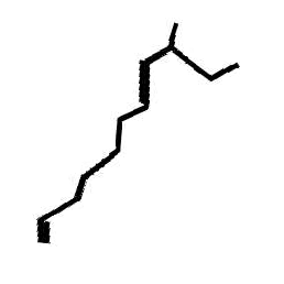 C=CCCCCC=CC(C)CC